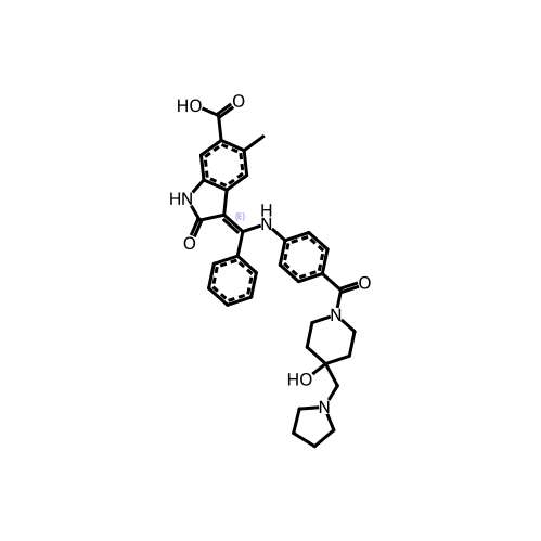 Cc1cc2c(cc1C(=O)O)NC(=O)/C2=C(/Nc1ccc(C(=O)N2CCC(O)(CN3CCCC3)CC2)cc1)c1ccccc1